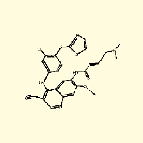 COc1cc2ncc(C#N)c(Nc3ccc(Sc4nccs4)c(Cl)c3)c2cc1NC(=O)C=CCN(C)C